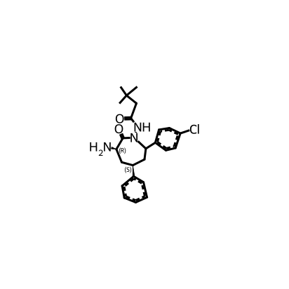 CC(C)(C)CC(=O)NN1C(=O)[C@H](N)C[C@H](c2ccccc2)CC1c1ccc(Cl)cc1